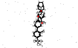 CCCc1cnc(N2C3CCC2CC(COc2ncc(-c4ccc(S(C)(=O)=O)cc4F)cn2)C3)nc1